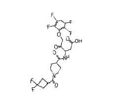 O=C(O)CC(NC(=O)C1CCN(C(=O)C2CC(F)(F)C2)CC1)C(=O)COc1c(F)c(F)cc(F)c1F